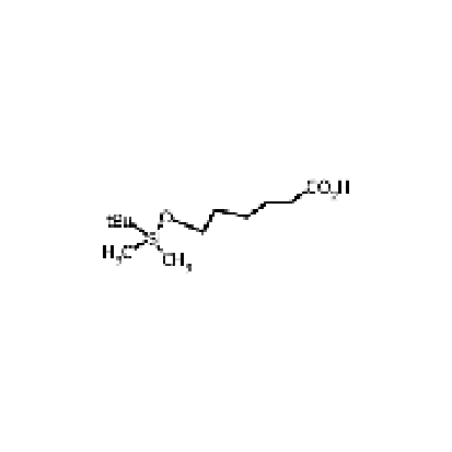 CC(C)(C)[Si](C)(C)OCCCCCC(=O)O